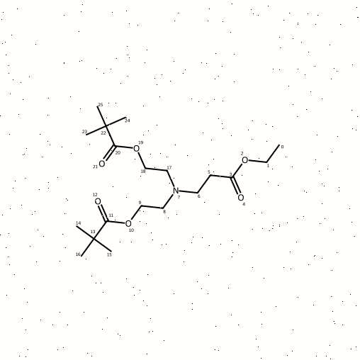 CCOC(=O)CCN(CCOC(=O)C(C)(C)C)CCOC(=O)C(C)(C)C